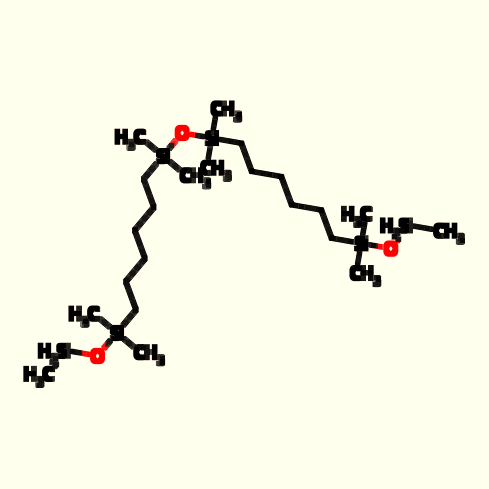 C[SiH2]O[Si](C)(C)CCCCCC[Si](C)(C)O[Si](C)(C)CCCCCC[Si](C)(C)O[SiH2]C